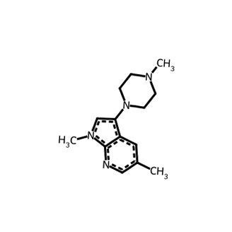 Cc1cnc2c(c1)c(N1CCN(C)CC1)cn2C